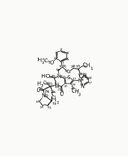 COc1ccccc1[C@H](CN1c2sc(-n3cccn3)c(C)c2C(=O)N(C(C)(C)C(=O)N2CCCC2)C1O)OCC(C)C